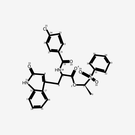 C[C@@H](OC(=O)C(Cc1cc(=O)[nH]c2ccccc12)NC(=O)c1ccc(Cl)cc1)S(=O)(=O)c1ccccc1